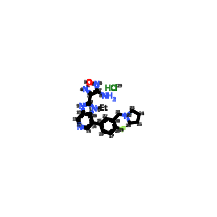 CCn1c(-c2nonc2N)nc2cncc(-c3ccc(F)c(CN4CCCC4)c3)c21.Cl